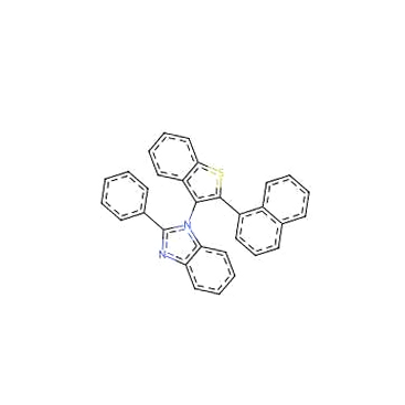 c1ccc(-c2nc3ccccc3n2-c2c(-c3cccc4ccccc34)sc3ccccc23)cc1